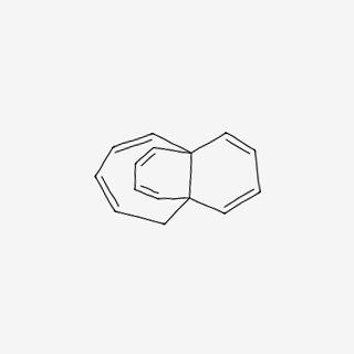 C1=CCC23C=CC=CC2(C=C1)C=CC=C3